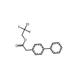 CCC(F)(F)COC(=O)Cc1ccc(-c2ccccc2)cc1